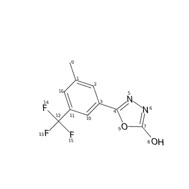 Cc1cc(-c2nnc(O)o2)cc(C(F)(F)F)c1